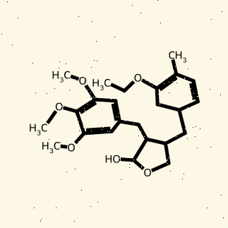 CCOC1=C(C)C=CC(CC2COC(O)C2Cc2cc(OC)c(OC)c(OC)c2)C1